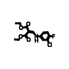 CCOC(=O)C(=CNc1ccc(F)c(Cl)c1)C(=O)OCC